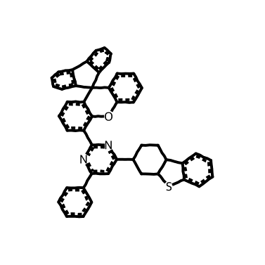 c1ccc(-c2cc(C3CCC4c5ccccc5SC4C3)nc(-c3cccc4c3Oc3ccccc3C43c4ccccc4-c4ccccc43)n2)cc1